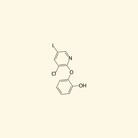 Oc1ccccc1Oc1ncc(I)cc1Cl